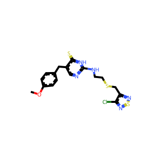 COc1ccc(Cc2cnc(NCCSCc3nsnc3Cl)[nH]c2=S)cc1